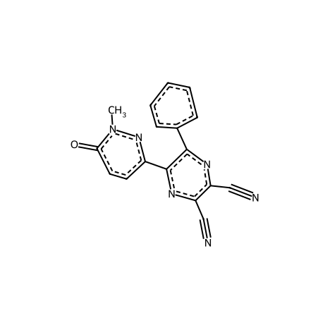 Cn1nc(-c2nc(C#N)c(C#N)nc2-c2ccccc2)ccc1=O